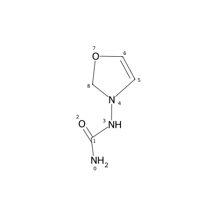 NC(=O)NN1C=COC1